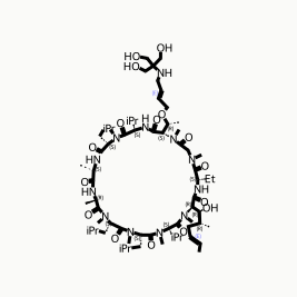 C/C=C/C[C@@H](C)[C@@H](O)[C@@H]1C(=O)N[C@@H](CC)C(=O)N(C)CC(=O)N(C)[C@@H]([C@@H](C)OC/C=C/CNC(CO)(CO)CO)C(=O)N[C@@H](C(C)C)C(=O)N(C)[C@@H](CC(C)C)C(=O)N[C@@H](C)C(=O)N[C@H](C)C(=O)N(C)[C@@H](CC(C)C)C(=O)N(C)[C@@H](CC(C)C)C(=O)N(C)[C@@H](C(C)C)C(=O)N1C